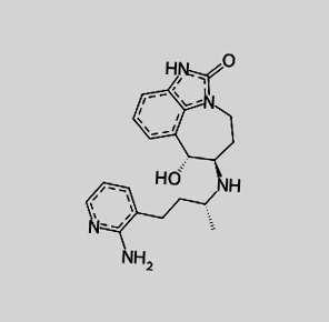 C[C@H](CCc1cccnc1N)N[C@@H]1CCn2c(=O)[nH]c3cccc(c32)[C@H]1O